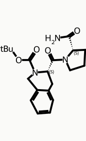 CC(C)(C)OC(=O)N1Cc2ccccc2C[C@H]1C(=O)N1CCC[C@H]1C(N)=O